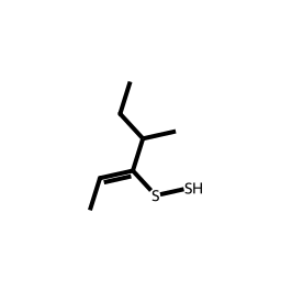 CC=C(SS)C(C)CC